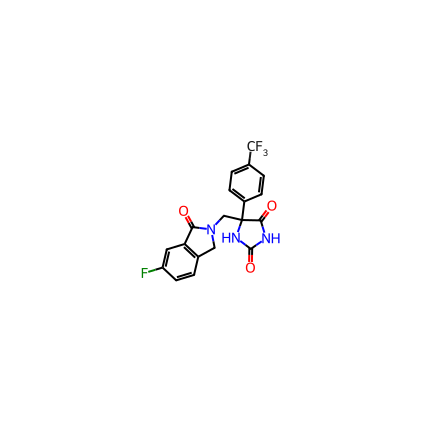 O=C1NC(=O)C(CN2Cc3ccc(F)cc3C2=O)(c2ccc(C(F)(F)F)cc2)N1